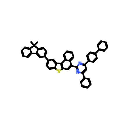 CC1(C)c2ccccc2-c2cc(-c3ccc4sc5cc(-c6nc(-c7ccccc7)cc(-c7ccc(-c8ccccc8)cc7)n6)c6ccccc6c5c4c3)ccc21